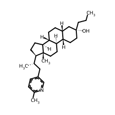 CCC[C@@]1(O)CC[C@H]2[C@H](CC[C@@H]3[C@@H]2CC[C@]2(C)[C@@H]([C@@H](C)Cc4ccc(C)nc4)CC[C@@H]32)C1